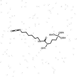 CO[Si](CCCN(C=O)C(=O)NCCCCCCN=C=O)(OC)OC